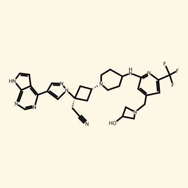 N#CC[C@]1(n2cc(-c3ncnc4[nH]ccc34)cn2)C[C@H](N2CCC(Nc3cc(CN4CC(O)C4)cc(C(F)(F)F)n3)CC2)C1